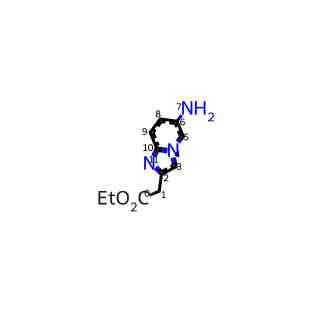 CCOC(=O)Cc1cn2cc(N)ccc2n1